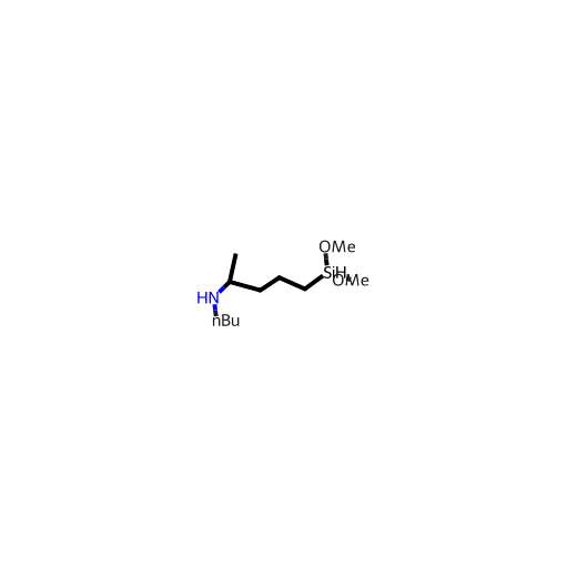 CCCCNC(C)CCC[SiH](OC)OC